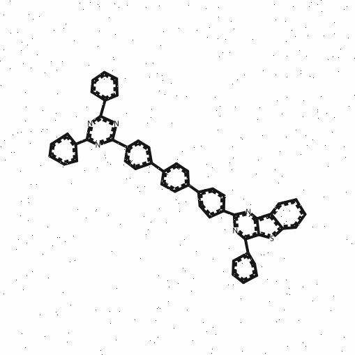 c1ccc(-c2nc(-c3ccccc3)nc(-c3ccc(-c4ccc(-c5ccc(-c6nc(-c7ccccc7)c7sc8ccccc8c7n6)cc5)cc4)cc3)n2)cc1